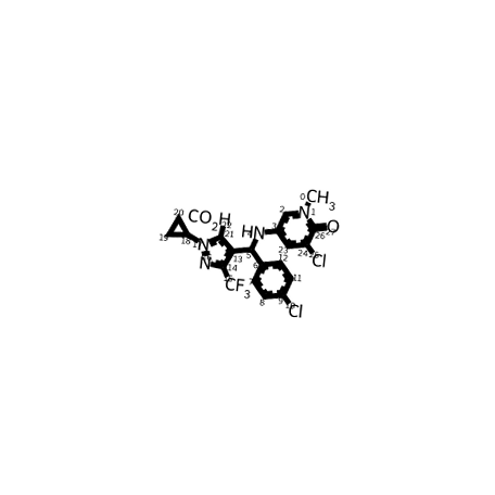 Cn1cc(NC(c2ccc(Cl)cc2)c2c(C(F)(F)F)nn(C3CC3)c2C(=O)O)cc(Cl)c1=O